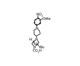 COc1cc(N2CCC(N3C[C@@]4(C(C)(C)C)C[C@H]3CN4C(=O)O)CC2)ccc1[N+](=O)[O-]